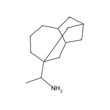 CC(N)C12CCCC3CC(CC3C1)C2